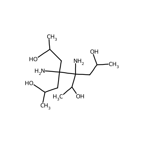 CC(O)CC(N)(CC(C)O)C(N)(CC(C)O)C(C)O